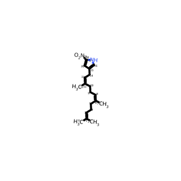 CC(C)=CCCC(C)=CCCC(C)=CCc1c[nH]c([N+](=O)[O-])c1